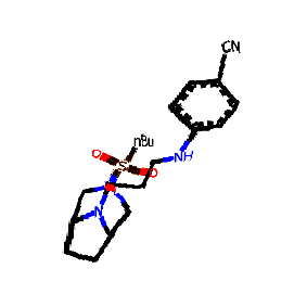 CCCCS(=O)(=O)N1CC2CCC(C1)N2CCCNc1ccc(C#N)cc1